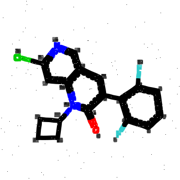 O=c1c(-c2c(F)cccc2F)cc2cnc(Cl)cc2n1C1CCC1